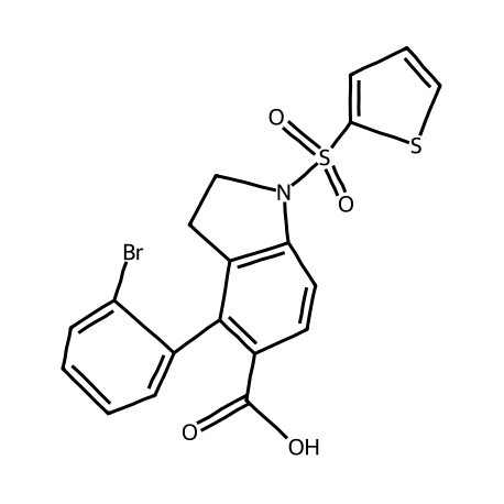 O=C(O)c1ccc2c(c1-c1ccccc1Br)CCN2S(=O)(=O)c1cccs1